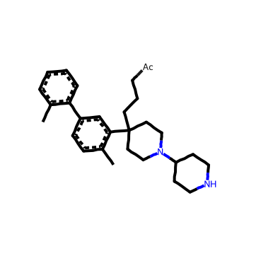 CC(=O)CCCC1(c2cc(-c3ccccc3C)ccc2C)CCN(C2CCNCC2)CC1